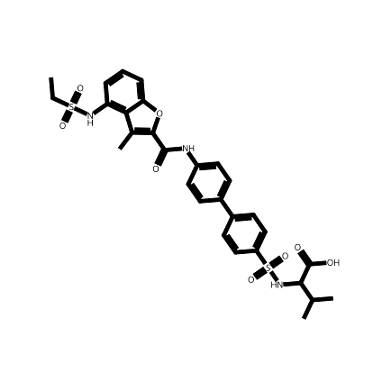 CCS(=O)(=O)Nc1cccc2oc(C(=O)Nc3ccc(-c4ccc(S(=O)(=O)NC(C(=O)O)C(C)C)cc4)cc3)c(C)c12